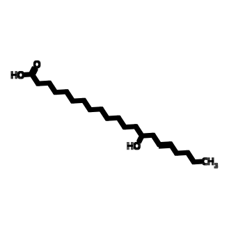 CCCCC=CCC(O)CCCCCCCCCCCCC(=O)O